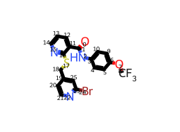 O=C(Nc1ccc(OC(F)(F)F)cc1)c1cccnc1SCc1ccnc(Br)c1